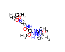 CC[C@@H]1C(=O)N(C)c2cnc(Nc3ccc(C(=O)NC4CC5(CCN(C(=O)OC(C)(C)C)CC5)C4)cc3OC)nc2N1C1CCCC1